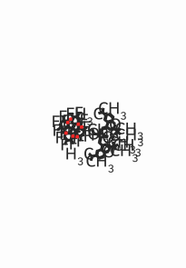 COC1=C(/C=C2\C=C(C(C)(C)C)Oc3ccc(C(C)C)cc32)C(=O)/C1=C\c1cc(C(C)(C)C)[o+]c2ccc(C(C)C)cc12.Fc1c(F)c(F)c([B-](c2c(F)c(F)c(F)c(F)c2F)(c2c(F)c(F)c(F)c(F)c2F)c2c(F)c(F)c(F)c(F)c2F)c(F)c1F